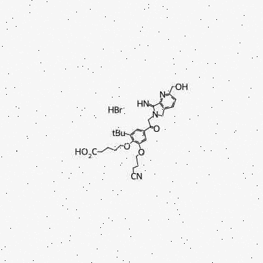 Br.CC(C)(C)c1cc(C(=O)CN2Cc3ccc(CO)nc3C2=N)cc(OCCCC#N)c1OCCCCC(=O)O